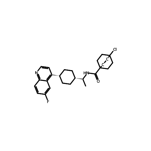 CC(NC(=O)C12CCC(Cl)(CC1)CC2)[C@H]1CC[C@@H](c2ccnc3ccc(F)cc32)CC1